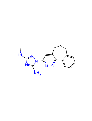 CNc1nc(N)n(-c2cc3c(nn2)-c2ccccc2CCC3)n1